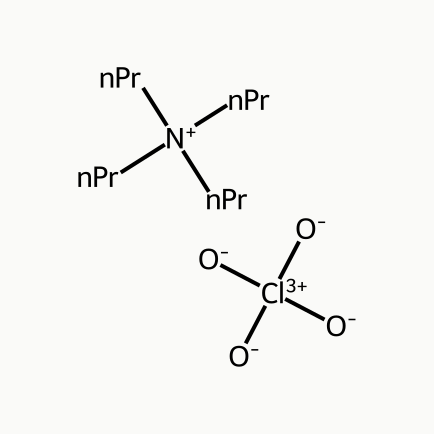 CCC[N+](CCC)(CCC)CCC.[O-][Cl+3]([O-])([O-])[O-]